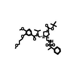 COCCCOc1cc(C(=O)N(C[C@@H]2CN(C(=O)OC(C)(C)C)C[C@H]2CNS(=O)(=O)C(C)c2ccccc2)C(C)C)ccc1OC